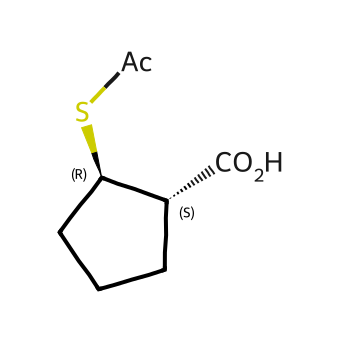 CC(=O)S[C@@H]1CCC[C@H]1C(=O)O